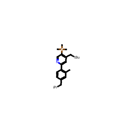 Cc1cc(CC(C)C)ccc1-c1cc(CC(C)(C)C)c(S(C)(C)C)cn1